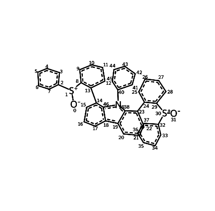 [O-][S+](c1ccccc1)c1ccccc1-c1cccc2c3cccc(-c4ccccc4[S+]([O-])c4ccccc4)c3n(-c3ccccc3)c12